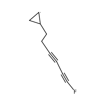 FC#CC#CCCC1[CH]C1